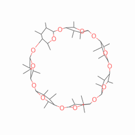 CC1OC2OC3C(C)OC(OC4C(C)OC(OC5C(C)OC(OC6C(C)OC(OC7C(C)OC(OC8C(C)OC(OC1C(C)C2C)C(C)C8C)C(C)C7C)C(C)C6C)C(C)C5C)C(C)C4C)C(C)C3C